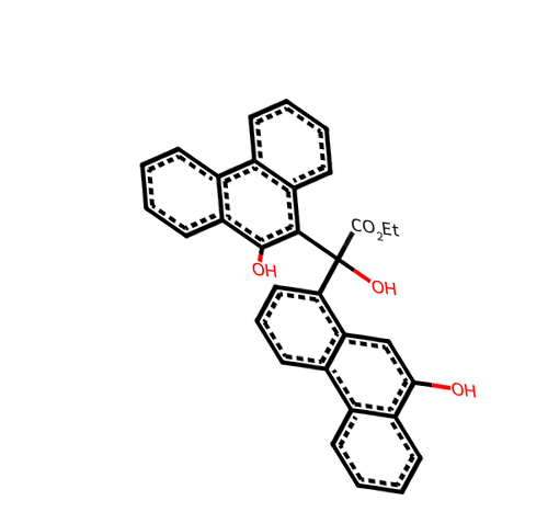 CCOC(=O)C(O)(c1cccc2c1cc(O)c1ccccc12)c1c(O)c2ccccc2c2ccccc12